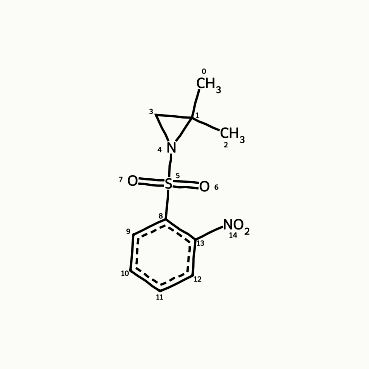 CC1(C)CN1S(=O)(=O)c1ccccc1[N+](=O)[O-]